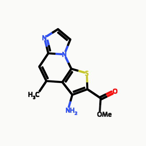 COC(=O)c1sc2c(c(C)cc3nccn32)c1N